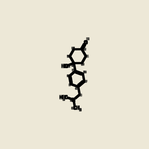 CN(C)Cc1ccc(C2(O)CCC(=O)CC2)cc1